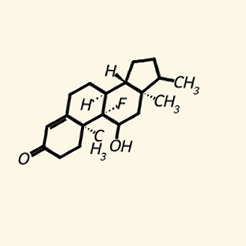 CC1CC[C@H]2[C@@H]3CCC4=CC(=O)CC[C@]4(C)[C@]3(F)C(O)C[C@]12C